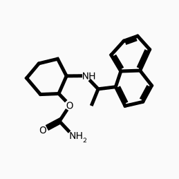 CC(NC1CCCCC1OC(N)=O)c1cccc2ccccc12